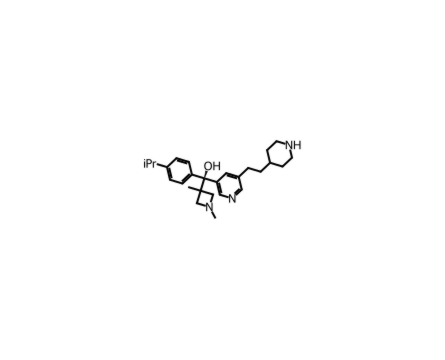 CC(C)c1ccc([C@](O)(c2cncc(CCC3CCNCC3)c2)C2(C)CN(C)C2)cc1